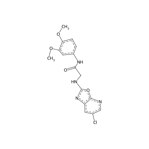 COc1ccc(NC(=O)CNc2nc3cc(Cl)cnc3o2)cc1OC